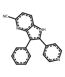 N#Cc1ccc2[nH]c(-c3ccncc3)c(-c3ccccc3)c2n1